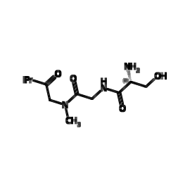 CC(C)C(=O)CN(C)C(=O)CNC(=O)[C@H](N)CO